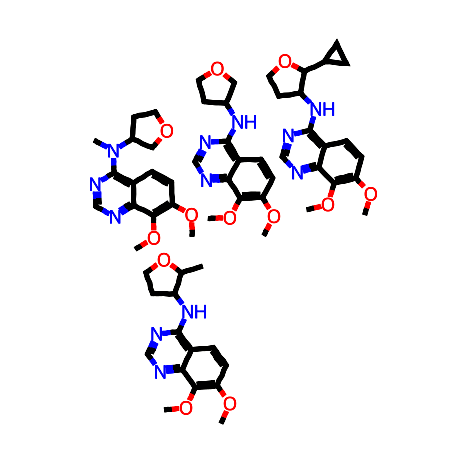 COc1ccc2c(N(C)C3CCOC3)ncnc2c1OC.COc1ccc2c(NC3CCOC3)ncnc2c1OC.COc1ccc2c(NC3CCOC3C)ncnc2c1OC.COc1ccc2c(NC3CCOC3C3CC3)ncnc2c1OC